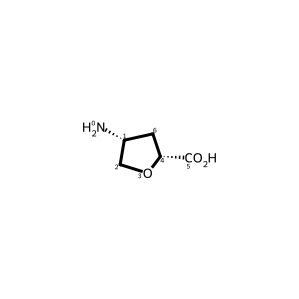 N[C@H]1CO[C@@H](C(=O)O)C1